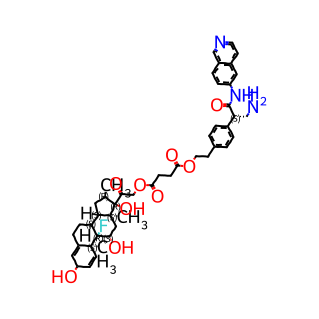 C[C@@H]1C[C@H]2[C@@H]3CCC4=CC(O)C=C[C@]4(C)[C@@]3(F)[C@@H](O)C[C@]2(C)[C@@]1(O)C(=O)COC(=O)CCC(=O)OCCc1ccc([C@@H](CN)C(=O)Nc2ccc3cnccc3c2)cc1